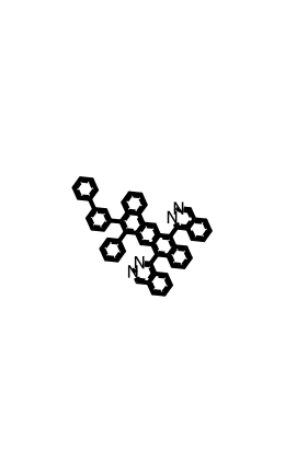 c1ccc(-c2cccc(-c3c(-c4ccccc4)c4cc5c(-c6nncc7ccccc67)c6ccccc6c(-c6nncc7ccccc67)c5cc4c4ccccc34)c2)cc1